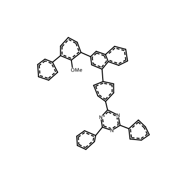 COc1c(-c2ccccc2)cccc1-c1cc(-c2ccc(-c3nc(-c4ccccc4)nc(-c4ccccc4)n3)cc2)c2ccccc2c1